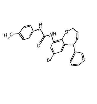 Cc1ccc(NC(=O)Nc2cc(Br)cc3c2OCC=CC3c2ccccc2)cc1